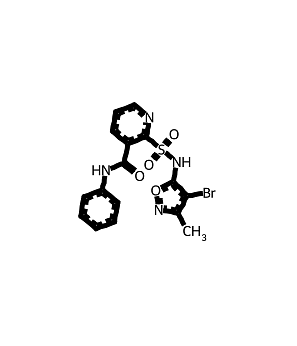 Cc1noc(NS(=O)(=O)c2ncccc2C(=O)Nc2ccccc2)c1Br